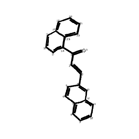 O=C(/C=C/c1ccc2ccccc2c1)c1cccc2ccccc12